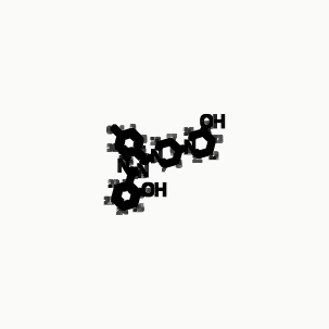 Cc1ccc2c(N3CCC(N4CCCC(O)C4)CC3)nc(-c3ccccc3O)nc2c1